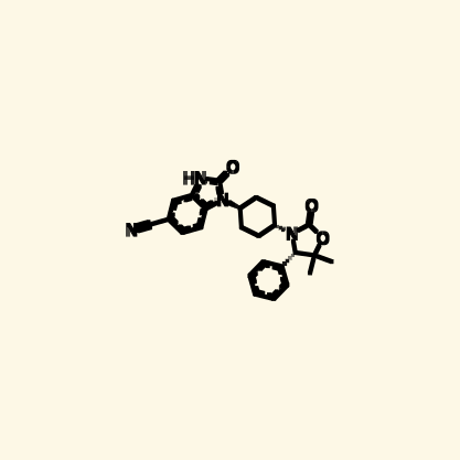 CC1(C)OC(=O)N([C@H]2CC[C@H](n3c(=O)[nH]c4cc(C#N)ccc43)CC2)[C@H]1c1ccccc1